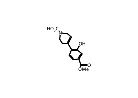 COC(=O)c1ccc(C2=CCN(C(=O)O)CC2)c(O)c1